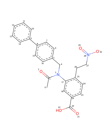 CC(=O)N(Cc1ccc(-c2ccccc2)cc1)c1cc(C(=O)O)ccc1CC[N+](=O)[O-]